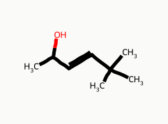 CC(O)C=CC(C)(C)C